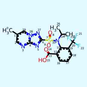 Cc1cnc2nc(S(=O)(=O)N(c3c(C(=O)O)cccc3C(F)(F)F)C(C)C)nn2c1